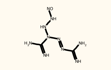 N=C(N)N=NN(NNN=O)C(=N)N